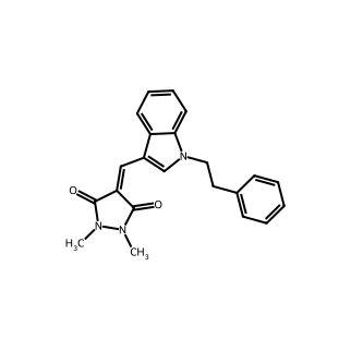 CN1C(=O)C(=Cc2cn(CCc3ccccc3)c3ccccc23)C(=O)N1C